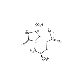 NC(=O)CC[C@H](N)C(=O)O.O=C1CC[C@@H](C(=O)O)N1